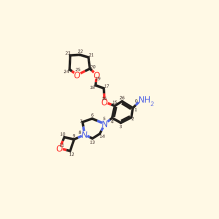 Nc1ccc(N2CCN(C3COC3)CC2)c(OCCOC2CCCCO2)c1